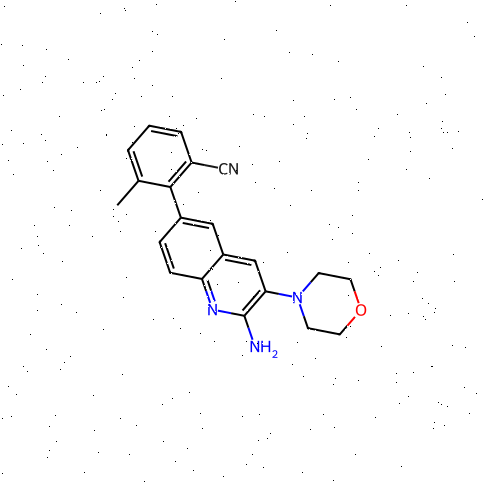 Cc1cccc(C#N)c1-c1ccc2nc(N)c(N3CCOCC3)cc2c1